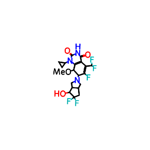 COC1c2c(c(=O)[nH]c(=O)n2C2CC2)C(C(F)F)=C(F)C1N1CC2CC(F)(F)C(O)C2C1